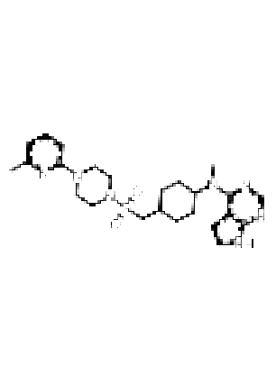 Cc1cccc(N2CCN(S(=O)(=O)CC3CCC(N(C)c4ncnc5[nH]ccc45)CC3)CC2)n1